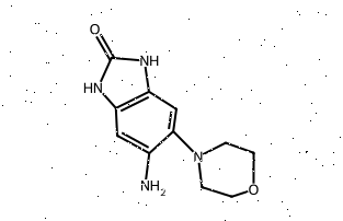 Nc1cc2[nH]c(=O)[nH]c2cc1N1CCOCC1